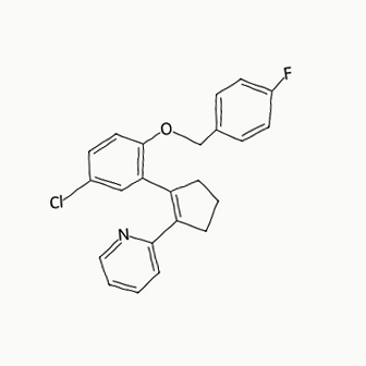 Fc1ccc(COc2ccc(Cl)cc2C2=C(c3ccccn3)CCC2)cc1